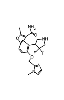 Cc1oc2ccc(OCc3nccn3C)c(C3CNCC3(F)F)c2c1C(N)=O